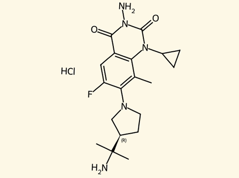 Cc1c(N2CC[C@@H](C(C)(C)N)C2)c(F)cc2c(=O)n(N)c(=O)n(C3CC3)c12.Cl